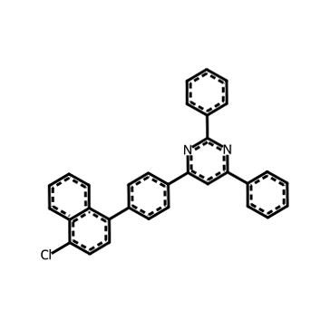 Clc1ccc(-c2ccc(-c3cc(-c4ccccc4)nc(-c4ccccc4)n3)cc2)c2ccccc12